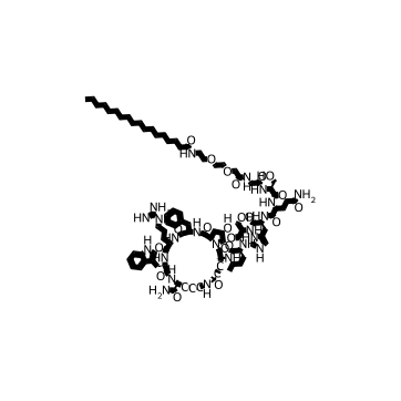 CCCCCCCCCCCCCCCCCC(=O)NCCOCCOCC(=O)NCC(=O)N[C@@H](CO)C(=O)NC(CCC(N)=O)C(=O)N[C@@H](CC1=CNCN1)C(=O)NC(CO)C(=O)N[C@@H](CCCC)C(=O)N[C@H]1CCC(=O)NCCC[C@@H](C(N)=O)NC(=O)[C@H](Cc2c[nH]c3ccccc23)NC(=O)C(CCCNC(=N)N)NC(=O)C(Cc2ccccc2)NC(=O)C2C[C@@H](O)CN2C1=O